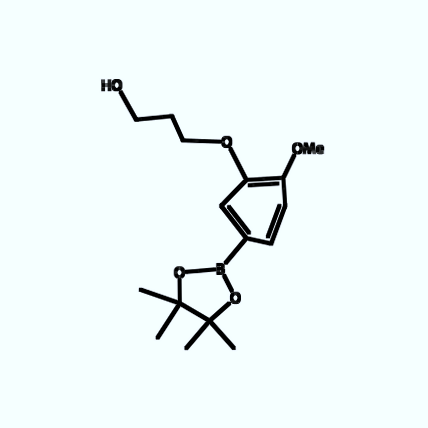 COc1ccc(B2OC(C)(C)C(C)(C)O2)cc1OCCCO